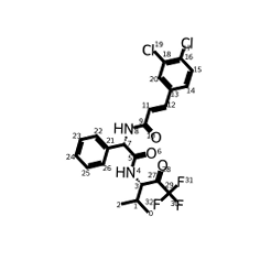 CC(C)[C@H](NC(=O)[C@@H](NC(=O)/C=C/c1ccc(Cl)c(Cl)c1)c1ccccc1)C(=O)C(F)(F)F